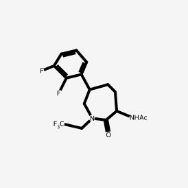 CC(=O)NC1CCC(c2cccc(F)c2F)CN(CC(F)(F)F)C1=O